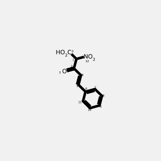 O=C(O)C(C(=O)/C=C/c1ccccc1)[N+](=O)[O-]